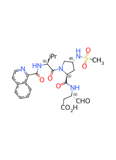 CC(C)[C@H](NC(=O)c1nccc2ccccc12)C(=O)N1C[C@H](NS(C)(=O)=O)C[C@H]1C(=O)N[C@H](C=O)CC(=O)O